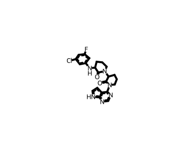 O=C1C(N2CCCC(Nc3cc(F)cc(Cl)c3)C2=O)CCCN1c1ncnc2[nH]ccc12